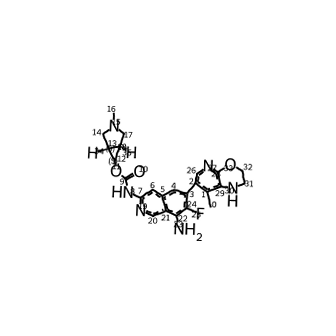 Cc1c(-c2cc3cc(NC(=O)O[C@H]4[C@@H]5CN(C)C[C@@H]54)ncc3c(N)c2F)cnc2c1NCCO2